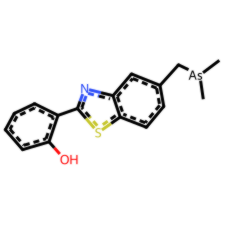 C[As](C)Cc1ccc2sc(-c3ccccc3O)nc2c1